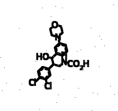 O=C(O)NCC(c1ccc(Cl)c(Cl)c1)C(O)c1cccc(N2CCOCC2)c1